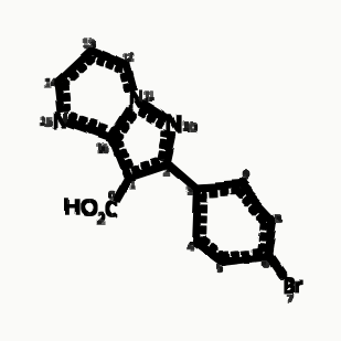 O=C(O)c1c(-c2ccc(Br)cc2)nn2cccnc12